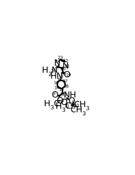 COC(=O)[C@@H](NC(=O)OC(C)(C)C)C1CCC(NC(=O)c2nccnc2N)CC1